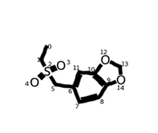 CCS(=O)(=O)Cc1ccc2c(c1)OCO2